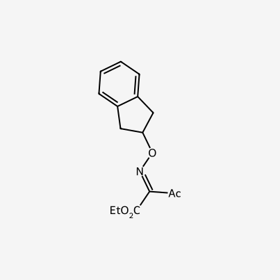 CCOC(=O)/C(=N/OC1Cc2ccccc2C1)C(C)=O